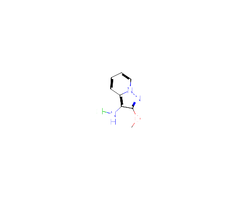 COc1nn2ccccc2c1NCl